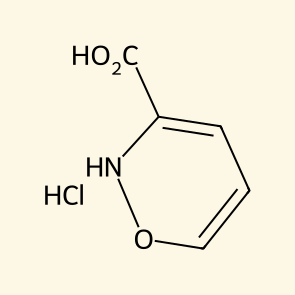 Cl.O=C(O)C1=CC=CON1